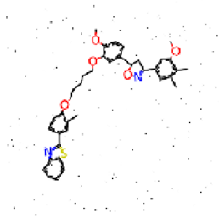 COc1ccc(C2CC(c3cc(C)c(C)c(OC)c3)=NO2)cc1OCCCCCOc1ccc(-c2nc3ccccc3s2)cc1C